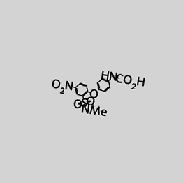 CNS(=O)(=O)c1cc([N+](=O)[O-])ccc1Oc1ccc(NC(=O)O)cc1